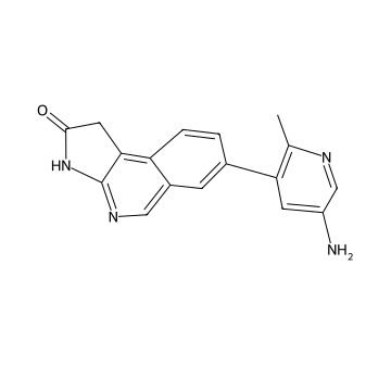 Cc1ncc(N)cc1-c1ccc2c3c(ncc2c1)NC(=O)C3